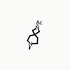 [CH2]C(=O)N1CC2(CCN(C)CC2)C1